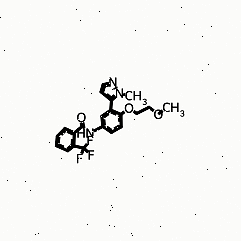 COCCOc1ccc(NC(=O)c2ccccc2C(F)(F)F)cc1-c1ccnn1C